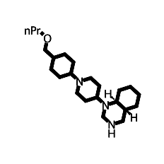 CCCOCC1CCC(N2CCC(N3CNC[C@H]4CCCC[C@@H]43)CC2)CC1